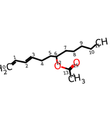 C=CC=CCCC(CCCCC)OC(C)=O